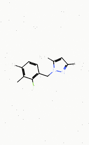 Cc1c([N+](=O)[O-])ccc(Cn2nc(C(F)(F)F)cc2C(F)(F)F)c1F